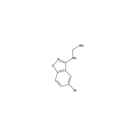 CC(C)(C)CNc1noc2ccc(Br)cc12